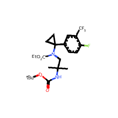 CCOC(=O)N(CC(C)(C)NC(=O)OC(C)(C)C)C1(c2ccc(F)c(C(F)(F)F)c2)CC1